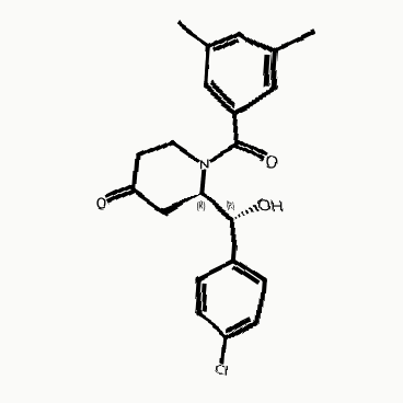 Cc1cc(C)cc(C(=O)N2CCC(=O)C[C@@H]2[C@H](O)c2ccc(Cl)cc2)c1